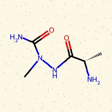 C[C@H](N)C(=O)NN(C)C(N)=O